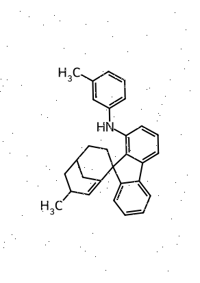 Cc1cccc(Nc2cccc3c2C2(CCC4CC2=CC(C)C4)c2ccccc2-3)c1